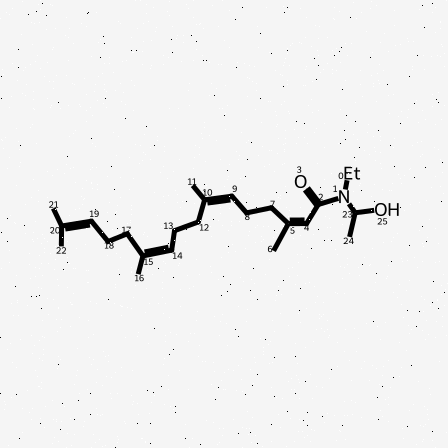 CCN(C(=O)C=C(C)CCC=C(C)CCC=C(C)CCC=C(C)C)C(C)O